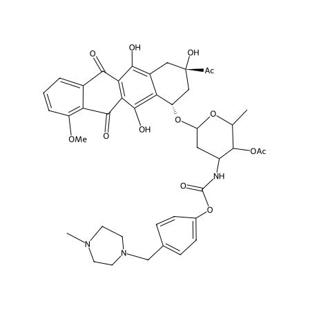 COc1cccc2c1C(=O)c1c(O)c3c(c(O)c1C2=O)C[C@@](O)(C(C)=O)C[C@@H]3OC1CC(NC(=O)Oc2ccc(CN3CCN(C)CC3)cc2)C(OC(C)=O)C(C)O1